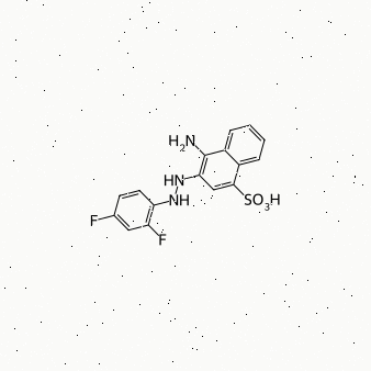 Nc1c(NNc2ccc(F)cc2F)cc(S(=O)(=O)O)c2ccccc12